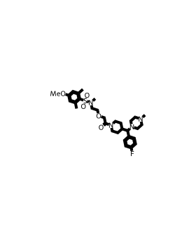 COc1cc(C)c(S(=O)(=O)N(C)CCOCC(=O)N2CCC(C(c3ccc(F)cc3)N3CCN(C)CC3)CC2)c(C)c1